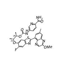 COc1cnc2c(-c3nc4cc(F)c(O[C@@H](C)[C@@H](C)OC(=O)Nc5ccc(C(N)=O)nc5)cc4s3)cc(C)cc2n1